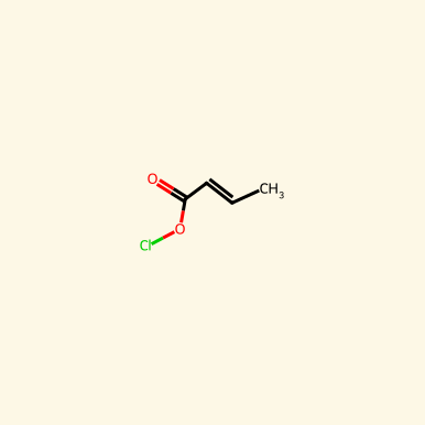 C/C=C/C(=O)OCl